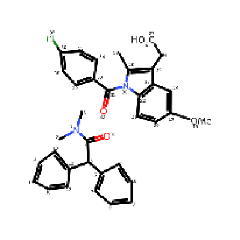 CN(C)C(=O)C(c1ccccc1)c1ccccc1.COc1ccc2c(c1)c(CC(=O)O)c(C)n2C(=O)c1ccc(Cl)cc1